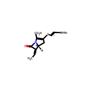 C/C=C1\C(=O)N2C(C(=O)O)=C(S/C=C/NC(C)=O)C[C@H]12